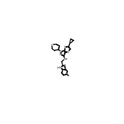 Fc1ccc2[nH]c(CNc3nn(C4CCOCC4)c4nc(C5CC5)cnc34)nc2c1